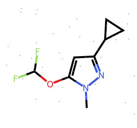 Cn1nc(C2CC2)cc1OC(F)F